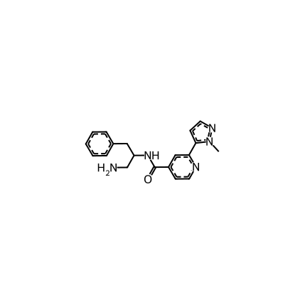 Cn1nccc1-c1cc(C(=O)NC(CN)Cc2ccccc2)ccn1